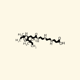 CCC(C)(C)NC(CCC(=O)NCCNCCNCCC(=O)O)C(=O)C(C)(C)CC